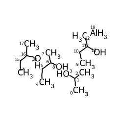 CC(C)O.CCC(C)O.CCC(C)O.CCC(C)O.[AlH3]